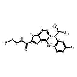 CCCNC(=O)c1nc2c(Nc3ccc(F)cc3OC(C)C)ncnc2s1